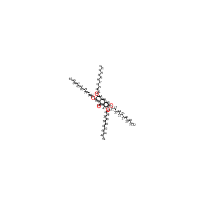 CCCCCCCCCCCCOC1=CC2=Cc3cc(OCCCCCCCCCCCC)c(OCCCCCCCCCCCC)cc3C(=O)C2=CC1OCCCCCCCCCCCC